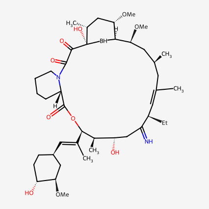 CC[C@@H]1/C=C(\C)C[C@H](C)C[C@H](OC)[C@H]2B[C@@](O)(C(=O)C(=O)N3CCCC[C@H]3C(=O)O[C@H](/C(C)=C/[C@@H]3CC[C@@H](O)[C@H](OC)C3)[C@H](C)[C@@H](O)CC1=N)[C@H](C)C[C@@H]2OC